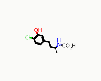 C[C@@H](CCc1ccc(Cl)c(O)c1)NC(=O)O